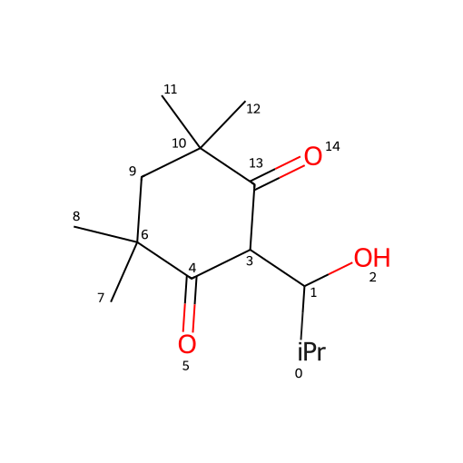 CC(C)C(O)C1C(=O)C(C)(C)CC(C)(C)C1=O